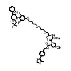 Cc1ncsc1-c1ccc(CNC(=O)[C@@H]2C[C@@H](O)CN2C(=O)C(NC(=O)COCCCOCCCCOc2cc(F)c([C@@H]3c4[nH]c5ccccc5c4C[C@@H](C)N3CC(C)(C)F)c(F)c2)C(C)(C)C)cc1